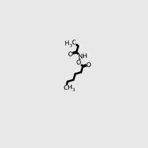 CCCCCC(=O)ONC(=O)CC